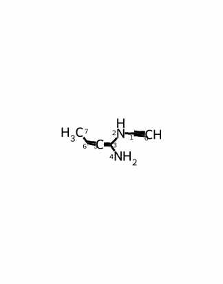 C#CNC(N)=C=CC